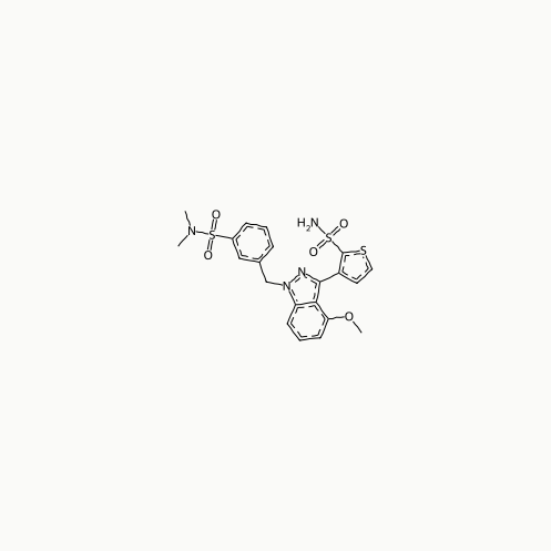 COc1cccc2c1c(-c1ccsc1S(N)(=O)=O)nn2Cc1cccc(S(=O)(=O)N(C)C)c1